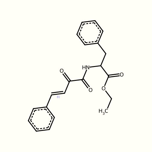 CCOC(=O)C(Cc1ccccc1)NC(=O)C(=O)/C=C/c1ccccc1